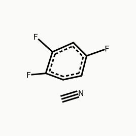 C#N.Fc1ccc(F)c(F)c1